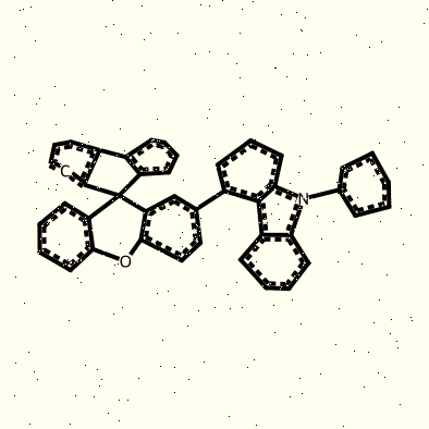 c1ccc(-n2c3ccccc3c3c(-c4ccc5c(c4)C4(c6ccccc6O5)c5ccccc5-c5ccccc54)cccc32)cc1